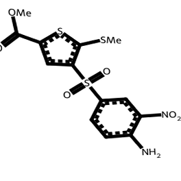 COC(=O)c1cc(S(=O)(=O)c2ccc(N)c([N+](=O)[O-])c2)c(SC)s1